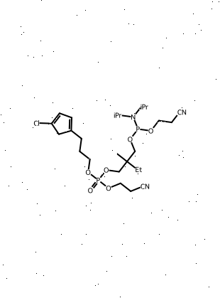 CCC(C)(COP(OCCC#N)N(C(C)C)C(C)C)COP(=O)(OCCC#N)OCCCC1=CC=C(Cl)C1